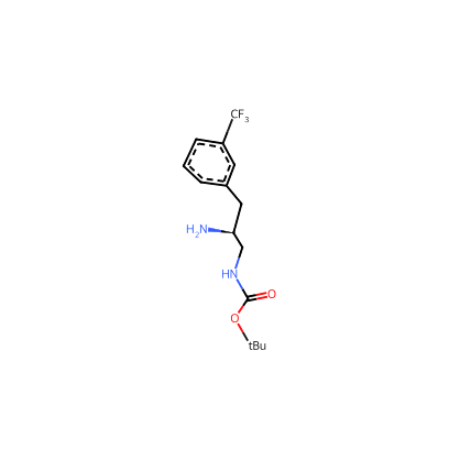 CC(C)(C)OC(=O)NC[C@@H](N)Cc1cccc(C(F)(F)F)c1